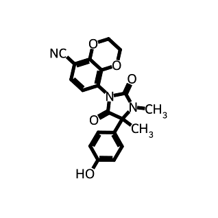 CN1C(=O)N(c2ccc(C#N)c3c2OCCO3)C(=O)C1(C)c1ccc(O)cc1